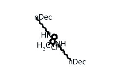 CCCCCCCCCCCCCCCCCCNc1cccc2c(NCCCCCCCCCCCCCCCCCC)c(C)c(C)cc12